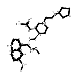 CON[C@@H](CC[C@@H]1CCN(CCSC2CCCC2)C[C@@H]1CC(=O)O)c1ccnc2ccc(OC)cc12